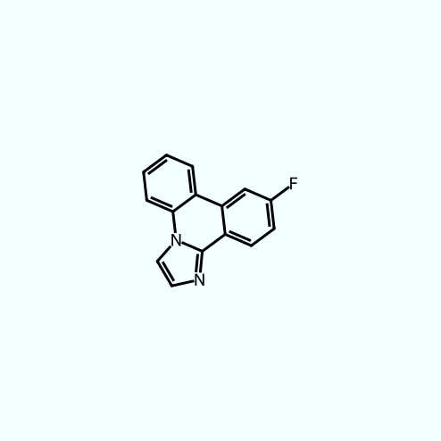 Fc1ccc2c(c1)c1ccccc1n1ccnc21